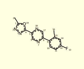 Cc1nnc(-c2cnc(-c3ccc(F)cc3C)cn2)o1